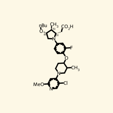 CCCCO[C@H]1CN(c2ccc(OC3CCN(c4cc(OC)ncc4Cl)CC3C)c(F)c2)[C@@H](CC(=O)O)[C@@H]1C